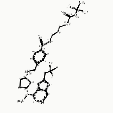 CN(c1nncc2sc(CC(F)(F)F)cc12)[C@@H]1CC[C@H](NCc2ccc(C(=O)NCCCNC(=O)OC(C)(C)C)cc2)C1